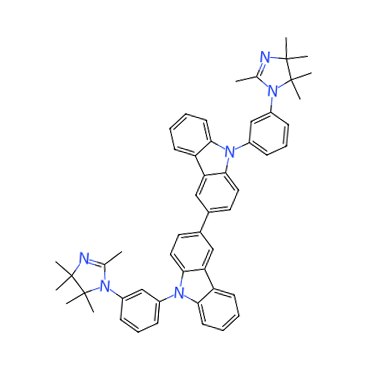 CC1=NC(C)(C)C(C)(C)N1c1cccc(-n2c3ccccc3c3cc(-c4ccc5c(c4)c4ccccc4n5-c4cccc(N5C(C)=NC(C)(C)C5(C)C)c4)ccc32)c1